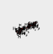 C[C@@H]1CN(CC(=O)N2CC(C)(C)c3[nH]c(=O)c(Cc4ccc(F)cc4)cc32)[C@@H](CN2CCN(C(=O)CCCCC(=O)N3CCN(C[C@H]4CN[C@H](C)CN4CC(=O)N4CC(C)(C)c5[nH]c(=O)c(Cc6ccc(F)cc6)cc54)[C@H](C)C3)C[C@H]2C)CN1